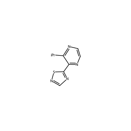 CC(C)c1nccnc1-c1ncns1